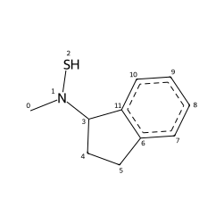 CN(S)C1CCc2ccccc21